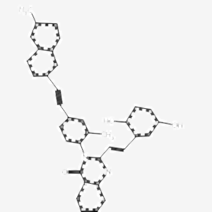 Cc1ccc2cc(C#Cc3ccc(-n4c(/C=C/c5cc(O)ccc5O)nc5ccccc5c4=O)c(C)c3)ccc2c1